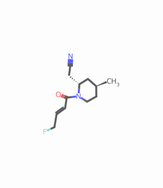 C[C@H]1CCN(C(=O)/C=C/CF)[C@H](CC#N)C1